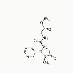 CN1C(=O)C[C@H](C(=O)NCC(=O)OC(C)(C)C)[C@H]1c1cccnc1